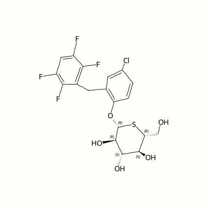 OC[C@H]1S[C@@H](Oc2ccc(Cl)cc2Cc2c(F)c(F)cc(F)c2F)[C@H](O)[C@@H](O)[C@@H]1O